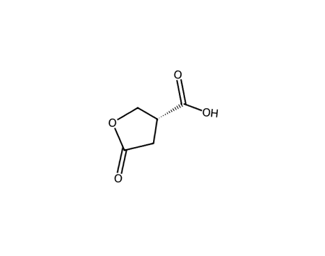 O=C1C[C@@H](C(=O)O)CO1